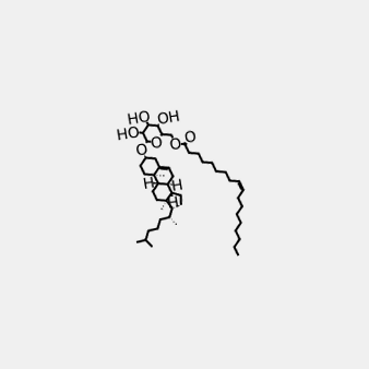 CCCCCCCC/C=C\CCCCCCCC(=O)OCC1O[C@@H](O[C@H]2CC[C@@]3(C)C(=CC[C@H]4[C@@H]5CC[C@H]([C@H](C)CCCC(C)C)[C@@]5(C)CC[C@@H]43)C2)C(O)C(O)[C@@H]1O